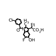 CCC(C(=O)O)c1c(C)n(C(=O)c2cccc(Cl)c2)c2cc(F)c(O)cc12